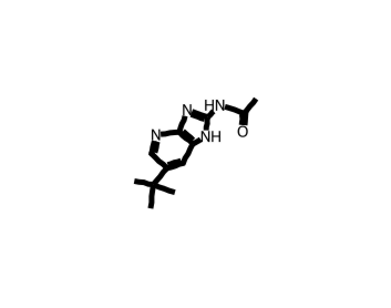 CC(=O)Nc1nc2ncc(C(C)(C)C)cc2[nH]1